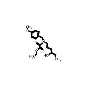 CCOC(=O)C(=O)N(CCCC(O)CC)Cc1ccc(OC)cc1